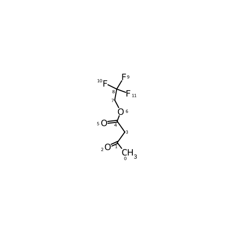 CC(=O)CC(=O)OCC(F)(F)F